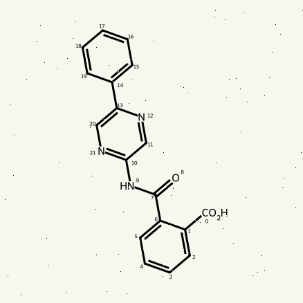 O=C(O)c1ccccc1C(=O)Nc1cnc(-c2ccccc2)cn1